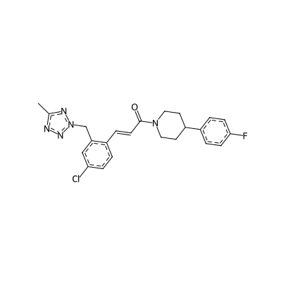 Cc1nnn(Cc2cc(Cl)ccc2C=CC(=O)N2CCC(c3ccc(F)cc3)CC2)n1